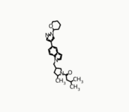 CC(C)CC(=O)N1CC(Cn2ccc3cc(-c4cnn(C5CCCCO5)c4)ccc32)CC1C